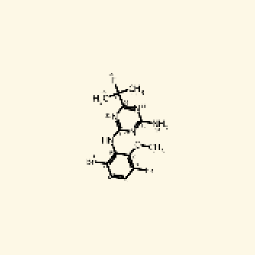 COc1c(F)ccc(Br)c1Nc1nc(N)nc(C(C)(C)F)n1